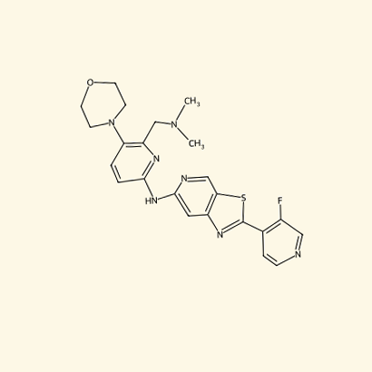 CN(C)Cc1nc(Nc2cc3nc(-c4ccncc4F)sc3cn2)ccc1N1CCOCC1